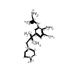 CCN1CCN(CC(C)(C)c2cc(C)c(N)c(OC(N)=O)c2)CC1